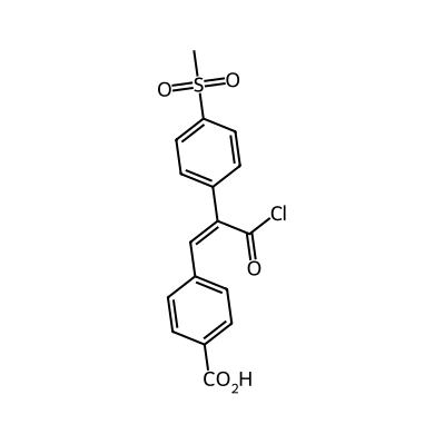 CS(=O)(=O)c1ccc(C(=Cc2ccc(C(=O)O)cc2)C(=O)Cl)cc1